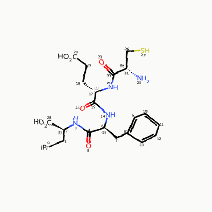 CC(C)C[C@H](NC(=O)[C@H](Cc1ccccc1)NC(=O)[C@H](CCC(=O)O)NC(=O)[C@@H](N)CS)C(=O)O